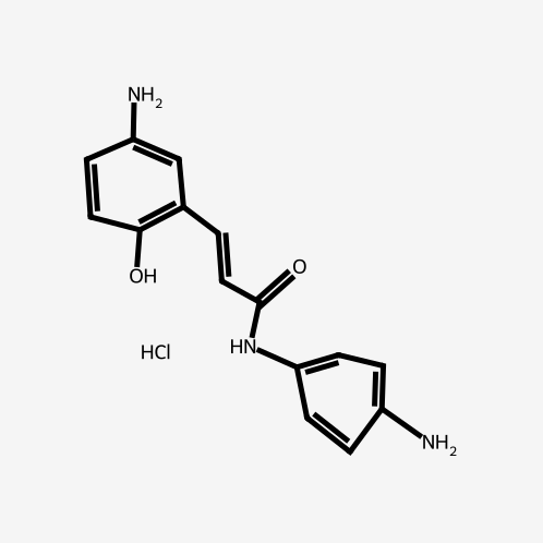 Cl.Nc1ccc(NC(=O)C=Cc2cc(N)ccc2O)cc1